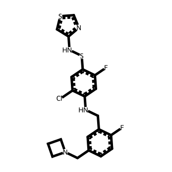 Fc1ccc(CN2CCC2)cc1CNc1cc(F)c(SNc2cscn2)cc1Cl